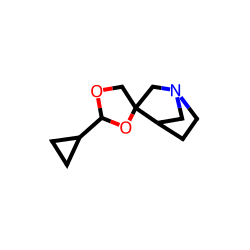 C1CC1C1OCC2(CN3CCC2C3)O1